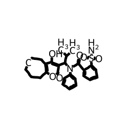 CC(C)C(c1c(O)c2c(oc1=O)CCCCCC2)N(C(=O)c1ccccc1S(N)(=O)=O)c1ccccc1